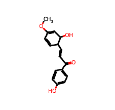 COC1=CC(O)C(C=CC(=O)c2ccc(O)cc2)C=C1